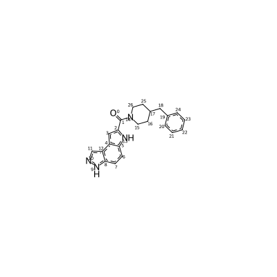 O=C(c1cc2c(ccc3[nH]ncc32)[nH]1)N1CCC(Cc2ccccc2)CC1